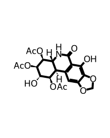 CC(=O)O[C@@H]1[C@@H](O)[C@H](OC(C)=O)[C@@H]2c3cc4c(c(O)c3C(=O)N[C@H]2[C@@H]1OC(C)=O)OCO4